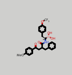 COc1ccc(C(=O)CC(Cc2ccccc2)C(=O)N[C@@H](Cc2ccc(OC(F)(F)F)cc2)B(O)O)cc1